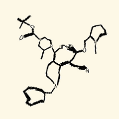 CC1CN(C(=O)OC(C)(C)C)CCN1c1nc(OCC2CCCN2C)c(C#N)c2c1CCN(Cc1ccccc1)C2